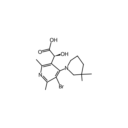 Cc1nc(C)c([C@H](O)C(=O)O)c(N2CCCC(C)(C)C2)c1Br